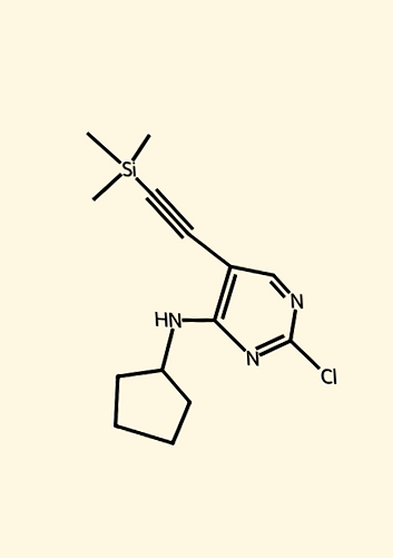 C[Si](C)(C)C#Cc1cnc(Cl)nc1NC1CCCC1